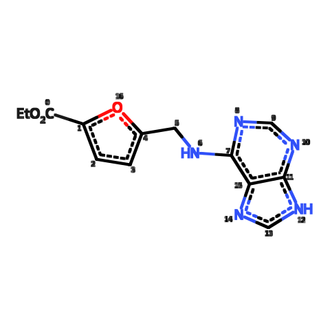 CCOC(=O)c1ccc(CNc2ncnc3[nH]cnc23)o1